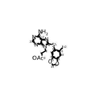 CC(=O)OCCn1c(Sc2cc3c(cc2I)OCO3)nc2c(N)ncnc21